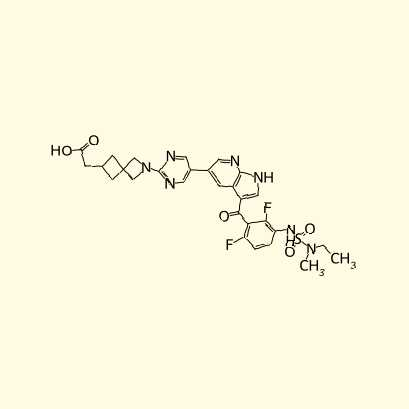 CCN(C)S(=O)(=O)Nc1ccc(F)c(C(=O)c2c[nH]c3ncc(-c4cnc(N5CC6(CC(CC(=O)O)C6)C5)nc4)cc23)c1F